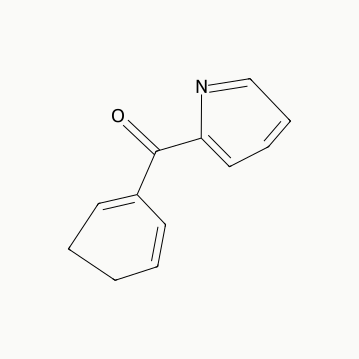 O=C(C1=CCCC=C1)c1ccccn1